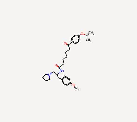 COc1ccc(CC(CN2CCCC2)NC(=O)CCCCCC(=O)c2ccc(OC(C)C)cc2)cc1